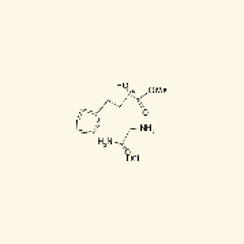 COC(=O)[C@@H](O)CCc1ccccc1.Cl.NCC(N)=O